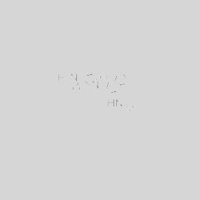 NC(=O)c1ccc(Oc2ccc(CNC(O)C3CCCCC3)c3ccccc23)nc1